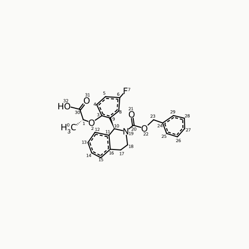 C[C@@H](Oc1ccc(F)cc1[C@@H]1c2ccccc2CCN1C(=O)OCc1ccccc1)C(=O)O